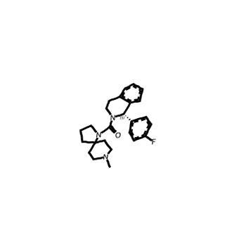 CN1CCC2(CCCN2C(=O)N2CCc3ccccc3[C@@H]2c2ccc(F)cc2)CC1